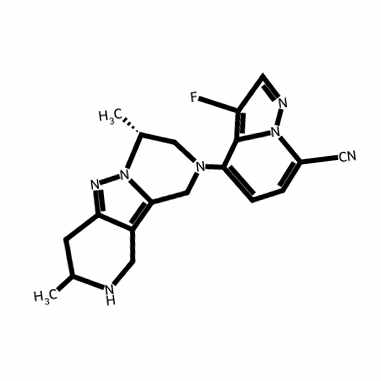 CC1Cc2nn3c(c2CN1)CN(c1ccc(C#N)n2ncc(F)c12)C[C@H]3C